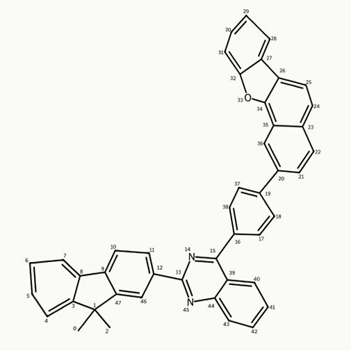 CC1(C)c2ccccc2-c2ccc(-c3nc(-c4ccc(-c5ccc6ccc7c8ccccc8oc7c6c5)cc4)c4ccccc4n3)cc21